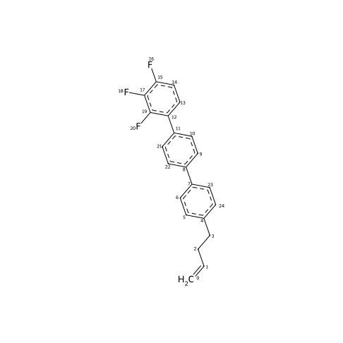 C=CCCc1ccc(-c2ccc(-c3ccc(F)c(F)c3F)cc2)cc1